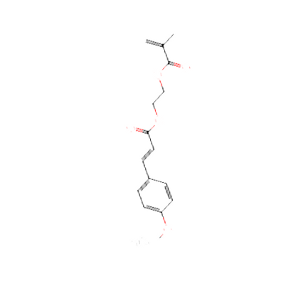 C=C(C)C(=O)OCCOC(=O)/C=C/c1ccc(OCCCCCCCC)cc1